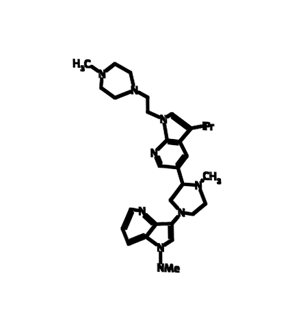 CNn1cc(N2CCN(C)C(c3cnc4c(c3)c(C(C)C)cn4CCN3CCN(C)CC3)C2)c2ncccc21